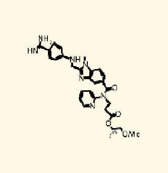 COC[C@H](C)OC(=O)CCN(C(=O)c1ccc2c(c1)nc(CNc1ccc(C(=N)N)cc1)n2C)c1ccccn1